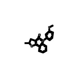 CSc1cccc(-n2c(=O)c3c(c4ccccc42)OC(C)C3)c1